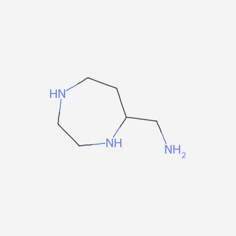 NCC1CCNCCN1